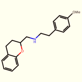 COc1ccc(CCNCC2CCc3ccccc3O2)cc1